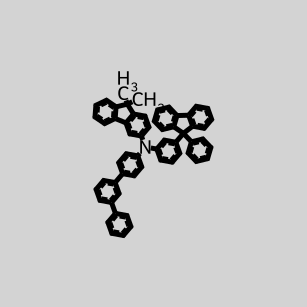 CC1(C)c2ccccc2-c2cc(N(c3ccc(-c4cccc(-c5ccccc5)c4)cc3)c3cccc(C4(c5ccccc5)c5ccccc5-c5ccccc54)c3)ccc21